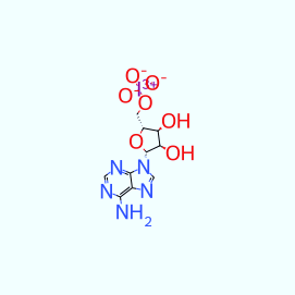 Nc1ncnc2c1ncn2[C@@H]1O[C@H](CO[I+3]([O-])([O-])[O-])[C@@H](O)[C@H]1O